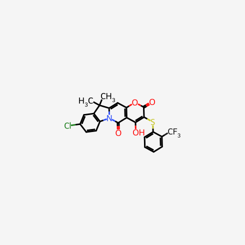 CC1(C)c2cc(Cl)ccc2-n2c1cc1oc(=O)c(Sc3ccccc3C(F)(F)F)c(O)c1c2=O